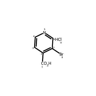 Cl.O=C(O)c1ccncc1Br